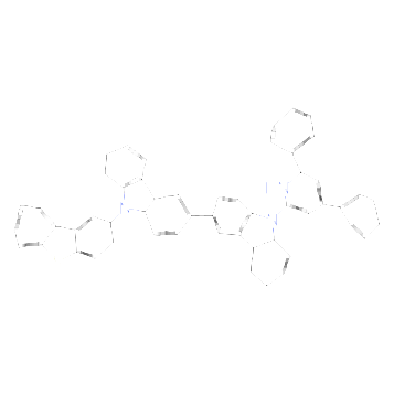 C1=CC(C2=CC(c3ccccc3)NC(N3c4ccc(C5=CC6C7=C(CCC=C7)N(C7C=c8c(sc9ccccc89)=CC7)C6C=C5)cc4C4CCC=CC43)=C2)=CCC1